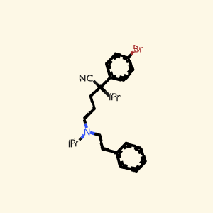 CC(C)N(CCCC(C#N)(c1ccc(Br)cc1)C(C)C)CCc1ccccc1